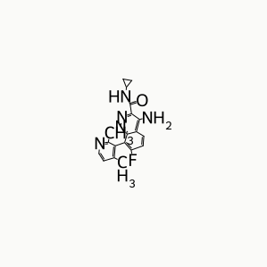 Cc1ccnc(C)c1-c1c(F)ccc2c(N)c(C(=O)NC3CC3)nnc12